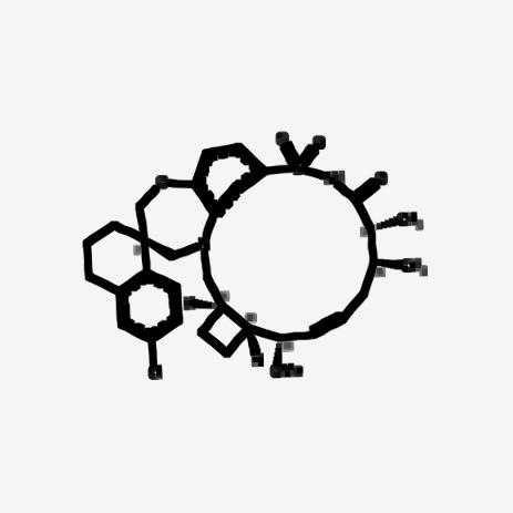 CO[C@H]1C=CC[C@H](C)[C@@H](C)C(=O)NS(=O)(=O)c2ccc3c(c2)N(C[C@@H]2CC[C@H]21)C[C@@]1(CCCc2cc(Cl)ccc21)CO3